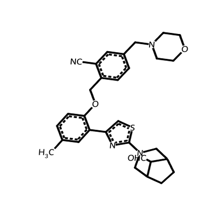 Cc1ccc(OCc2ccc(CN3CCOCC3)cc2C#N)c(-c2csc(N3CC4CCC(C3)C4C=O)n2)c1